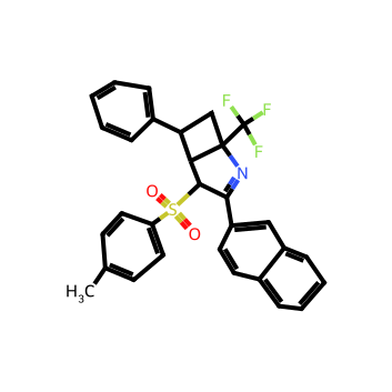 Cc1ccc(S(=O)(=O)C2C(c3ccc4ccccc4c3)=NC3(C(F)(F)F)CC(c4ccccc4)C23)cc1